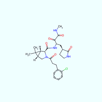 CNC(=O)C(=O)C(C[C@@H]1CCNC1=O)NC(=O)[C@@H]1[C@@H]2[C@H](CN1C(=O)CCc1ccccc1Cl)C2(C)C